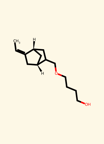 C/C=C1/C[C@@H]2C[C@H]1CC2COCCCCO